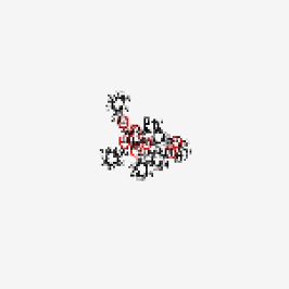 CC[C@H](c1ccc(B2OC(C)(C)C(C)(C)O2)cc1C)[C@H]1O[C@H](COCc2ccccc2)[C@@H](OCc2ccccc2)[C@H](OCc2ccccc2)[C@@H]1OCc1ccccc1